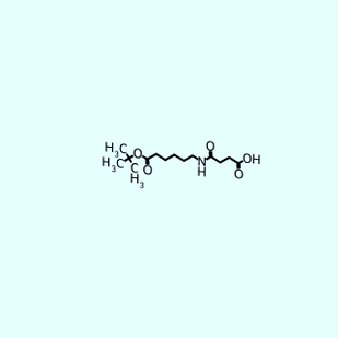 CC(C)(C)OC(=O)CCCCCNC(=O)CCC(=O)O